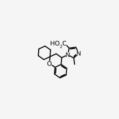 Cc1ncc(C(=O)O)n1C1CC2(CCCCC2)Oc2ccccc21